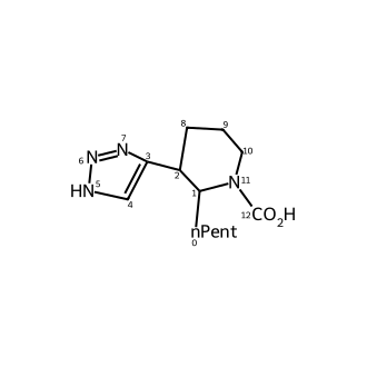 CCCCCC1C(c2c[nH]nn2)CCCN1C(=O)O